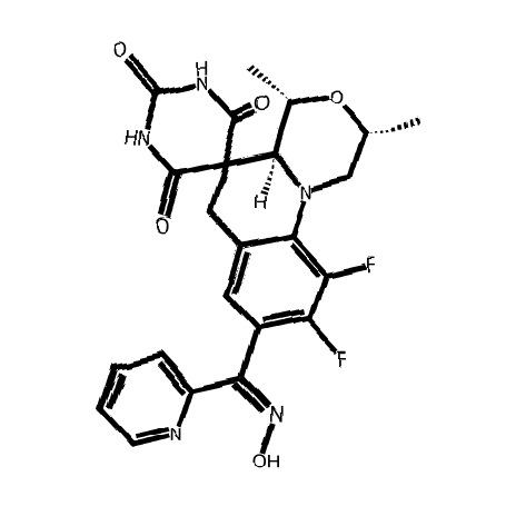 C[C@@H]1CN2c3c(cc(/C(=N/O)c4ccccn4)c(F)c3F)CC3(C(=O)NC(=O)NC3=O)[C@H]2[C@H](C)O1